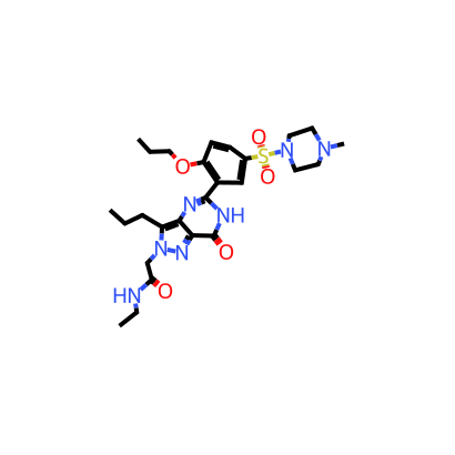 CCCOc1ccc(S(=O)(=O)N2CCN(C)CC2)cc1-c1nc2c(CCC)n(CC(=O)NCC)nc2c(=O)[nH]1